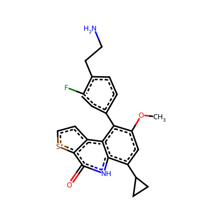 COc1cc(C2CC2)c2[nH]c(=O)c3sccc3c2c1-c1ccc(CCN)c(F)c1